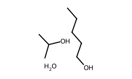 CC(C)O.CCCCCO.O